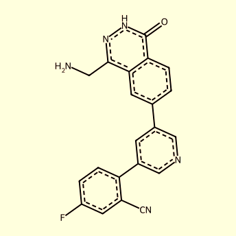 N#Cc1cc(F)ccc1-c1cncc(-c2ccc3c(=O)[nH]nc(CN)c3c2)c1